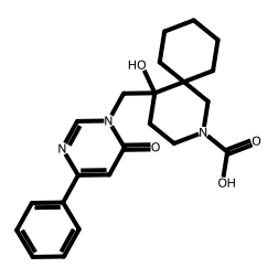 O=C(O)N1CCC(O)(Cn2cnc(-c3ccccc3)cc2=O)C2(CCCCC2)C1